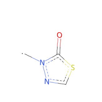 [CH2]n1ncsc1=O